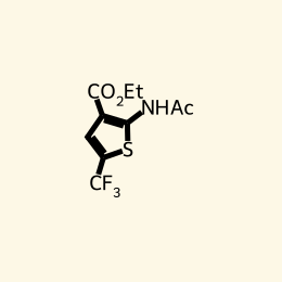 CCOC(=O)c1cc(C(F)(F)F)sc1NC(C)=O